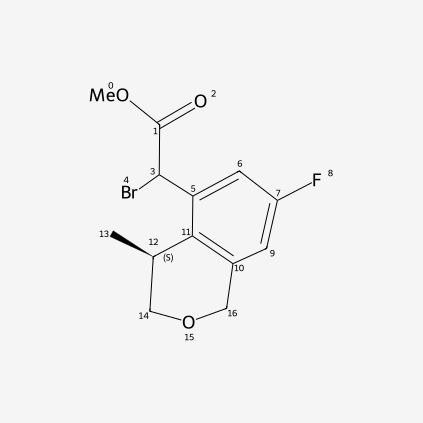 COC(=O)C(Br)c1cc(F)cc2c1[C@H](C)COC2